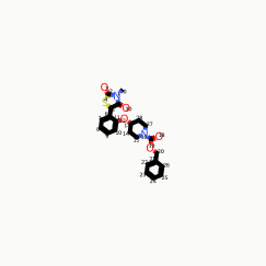 CN1C(=O)SC(c2ccccc2OC2CCN(C(=O)OCc3ccccc3)CC2)C1=O